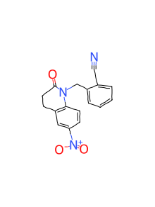 N#Cc1ccccc1CN1C(=O)CCc2cc([N+](=O)[O-])ccc21